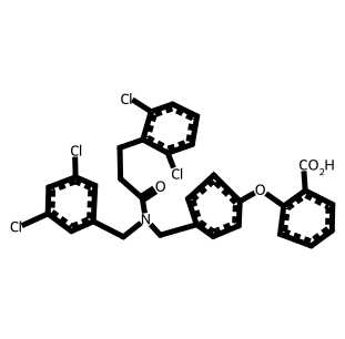 O=C(O)c1ccccc1Oc1ccc(CN(Cc2cc(Cl)cc(Cl)c2)C(=O)CCc2c(Cl)cccc2Cl)cc1